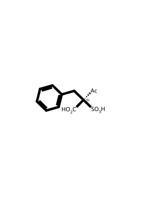 CC(=O)[C@@](Cc1ccccc1)(C(=O)O)S(=O)(=O)O